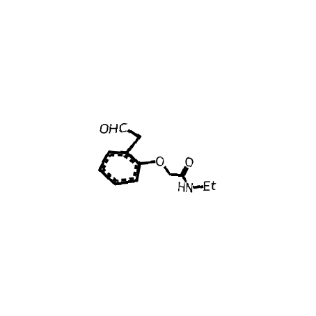 CCNC(=O)COc1ccccc1CC=O